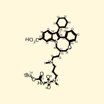 CN(CCCN(C)S(=O)(=O)NC(=O)OC(C)(C)C)CC[C@@H]1COc2ccccc2-c2c(C3CCCCC3)c3ccc(C(=O)O)cc3n2C1